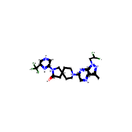 Cc1nn(CC(F)F)c2nc(N3CCC4(CC3)CC(=O)N(c3cncc(C(F)(F)F)n3)C4)cnc12